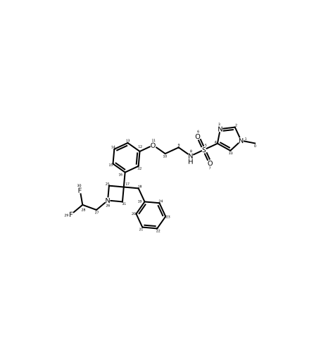 Cn1cnc(S(=O)(=O)NCCOc2cccc(C3(Cc4ccccc4)CN(CC(F)F)C3)c2)c1